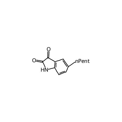 CCCCCc1ccc2c(c1)C(=O)C(=O)N2